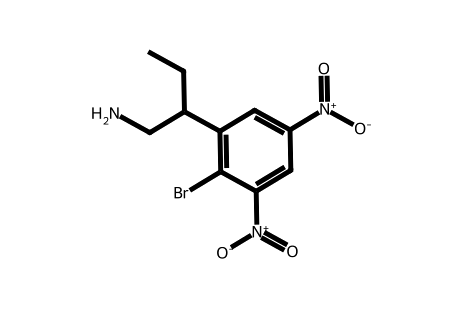 CCC(CN)c1cc([N+](=O)[O-])cc([N+](=O)[O-])c1Br